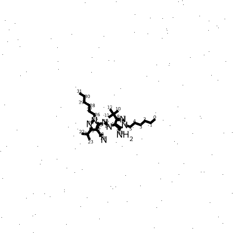 CCCCCCn1nc(C(C)(C)C)c(N=Nc2c(C#N)c(C(C)C)nn2CCCCCC)c1N